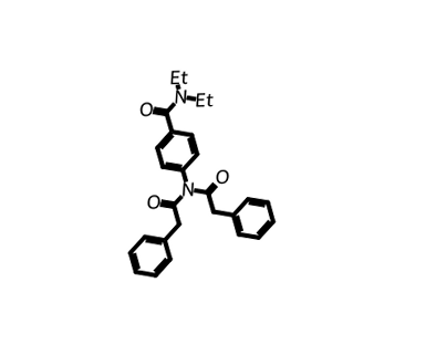 CCN(CC)C(=O)c1ccc(N(C(=O)Cc2ccccc2)C(=O)Cc2ccccc2)cc1